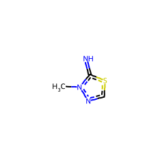 Cn1ncsc1=N